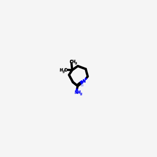 CC1(C)CCC/N=C(/N)CC1